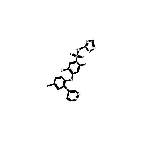 O=S(=O)(Nc1ncns1)c1cc(Cl)c(Oc2ccc(Cl)cc2-c2ccnnc2)cc1F